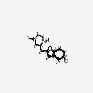 CN1CCNC(Cc2cc3cc(Cl)ccc3o2)C1